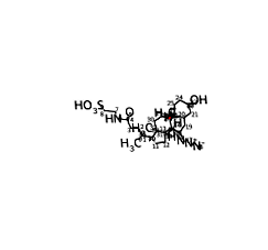 C[C@H](CCC(=O)NCCS(=O)(=O)O)[C@H]1CC[C@H]2[C@@H]3[C@@H](N=[N+]=[N-])CC4C[C@H](O)CC[C@]4(C)[C@H]3CC[C@]12C